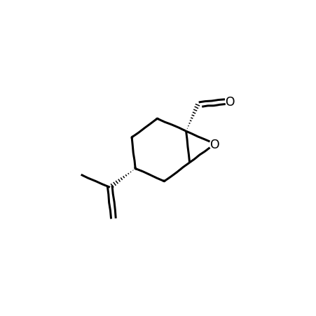 C=C(C)[C@@H]1CC[C@@]2(C=O)OC2C1